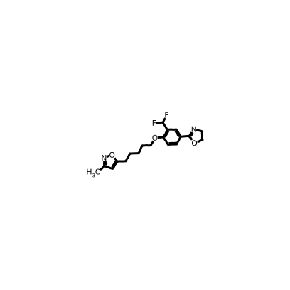 Cc1cc(CCCCCOc2ccc(C3=NCCO3)cc2C(F)F)on1